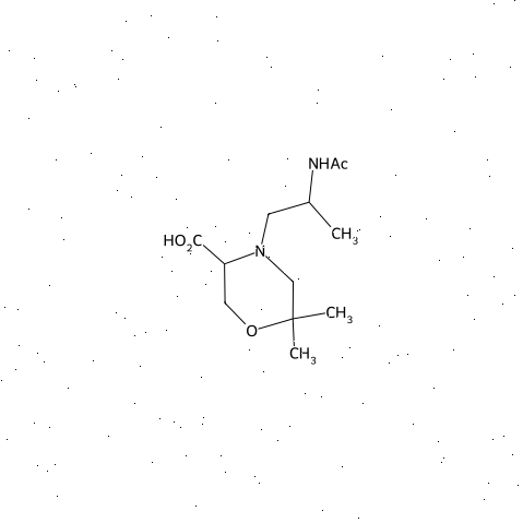 CC(=O)NC(C)CN1CC(C)(C)OCC1C(=O)O